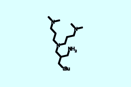 CN(C)CCCN(CCCN(C)C)CC(CN)CC(C)(C)C